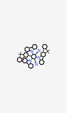 CC1(C)c2ccccc2-c2cc(-c3c(-n4c5ccccc5c5ccccc54)c(C#N)c(-n4c5ccccc5c5cc6c(cc54)-c4ccccc4C6(C)C)c(C#N)c3-n3c4ccccc4c4ccccc43)ccc21